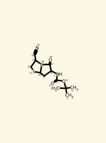 CC(C)(C)OC(=O)NC1CC2SCC(C#N)N2C1=O